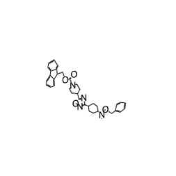 CN(OCc1ccccc1)[C@H]1CC[C@H](c2noc(C3CCN(C(=O)OCC4c5ccccc5-c5ccccc54)CC3)n2)CC1